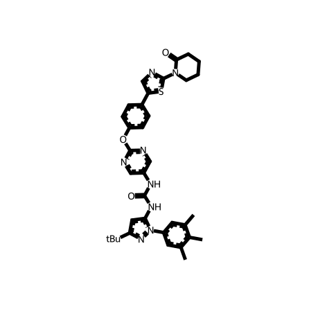 Cc1cc(-n2nc(C(C)(C)C)cc2NC(=O)Nc2cnc(Oc3ccc(-c4cnc(N5CCCCC5=O)s4)cc3)nc2)cc(C)c1C